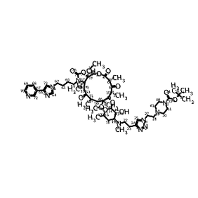 CC[C@H]1OC(=O)[C@H](C)C(=O)[C@H](C)[C@@H](O[C@@H]2O[C@H](C)C[C@H](N(C)CCc3cn(CCN4CCN(C(=O)OC(C)(C)C)CC4)nn3)[C@H]2O)[C@](C)(OC)C[C@@H](C)C(=O)[C@H](C)[C@H]2N(CCCCn3cnc(-c4cccnc4)c3)C(=O)O[C@]12C